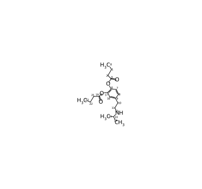 CCCC(=O)Oc1ccc(CCNC(C)C)cc1OC(=O)CCC